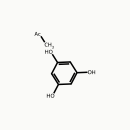 CC(C)=O.Oc1cc(O)cc(O)c1